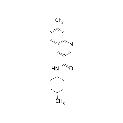 C[C@H]1CC[C@H](NC(=O)c2cnc3cc(C(F)(F)F)ccc3c2)CC1